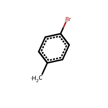 [CH2]c1ccc(Br)cc1